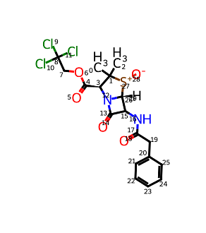 CC1(C)[C@H](C(=O)OCC(Cl)(Cl)Cl)N2C(=O)C(NC(=O)Cc3ccccc3)[C@H]2[S+]1[O-]